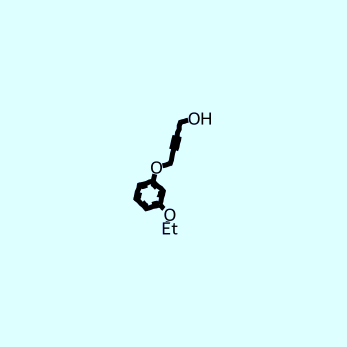 CCOc1cccc(OCC#CCO)c1